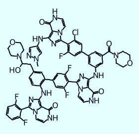 Cn1cc(Nc2nc(-c3c(F)cc(-c4cc(Nc5nc(-c6c(F)cc(-c7cc(CC(O)N8CCOCC8)ccc7Nc7nc(-c8c(F)cccc8F)n8cc[nH]c(=O)c78)cc6F)n6cc[nH]c(=O)c56)cc(C(=O)N5CCOCC5)c4)cc3Cl)n3cc[nH]c(=O)c23)cn1